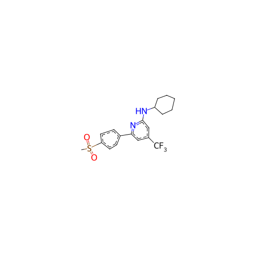 CS(=O)(=O)c1ccc(-c2cc(C(F)(F)F)cc(NC3CCCCC3)n2)cc1